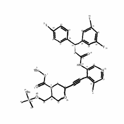 CC(C)(C)OC(=O)N1CC(C#Cc2c(F)cncc2NC(=O)C[C@H](c2ccc(F)cc2)c2cc(F)cc(F)c2)OCC1CO[Si](C)(C)C(C)(C)C